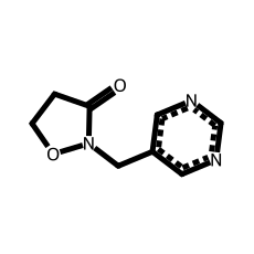 O=C1CCON1Cc1cncnc1